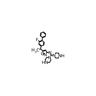 CC(c1ccc(-c2ccccc2)c(F)c1)c1cc(N=C(N2CCNCC2)N2CCNCC2)no1